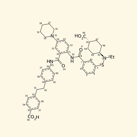 CCN(Sc1cccc(C(=O)Nc2ccc(N3CCCCC3)cc2C(=O)Nc2ccc(CCc3ccc(C(=O)O)cc3)cc2)c1)[C@H]1CC[C@H](C(=O)O)CC1